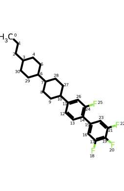 CCCC1CCC(C2CCC(c3ccc(-c4cc(F)c(F)c(F)c4)c(F)c3)CC2)CC1